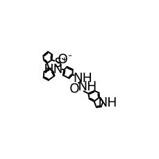 O=C(NCc1ccc2[nH]ccc2c1)Nc1ccc(N[S+]([O-])c2ccccc2-c2ccccc2)cc1